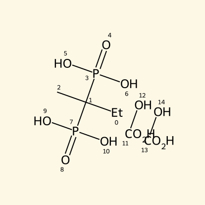 CCC(C)(P(=O)(O)O)P(=O)(O)O.O=C(O)O.O=C(O)O